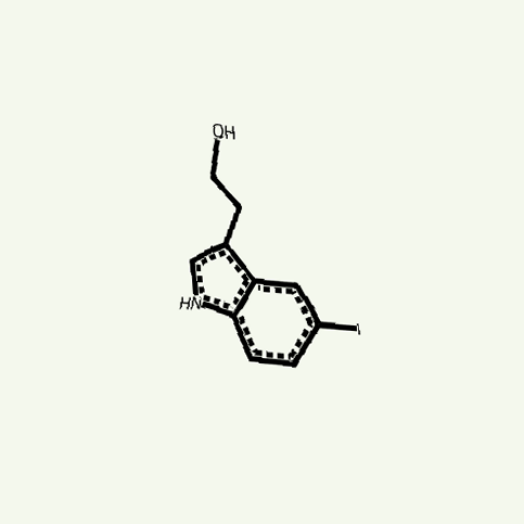 OCCc1c[nH]c2ccc(I)cc12